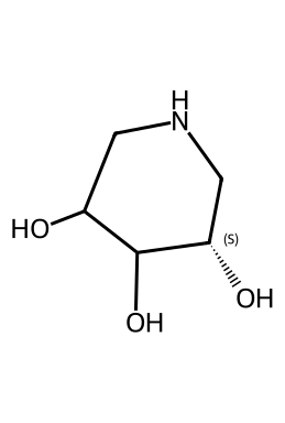 OC1CNC[C@H](O)C1O